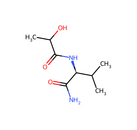 CC(O)C(=O)N[C@H](C(N)=O)C(C)C